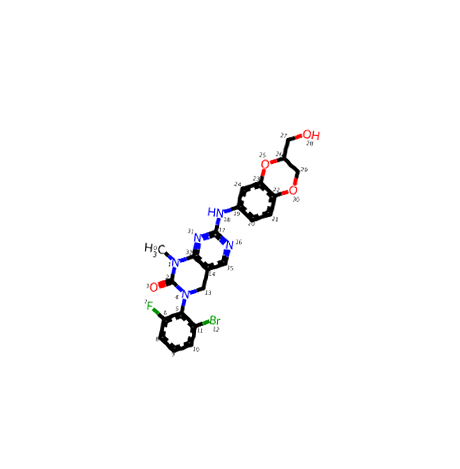 CN1C(=O)N(c2c(F)cccc2Br)Cc2cnc(Nc3ccc4c(c3)OC(CO)CO4)nc21